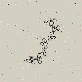 CC(C)(C)c1ccc(-n2c3ccccc3c3cc(-c4ccc(-c5ccc6c(c5)C5(c7ccccc7-c7ccccc75)c5cc(-c7ccc(-c8ccc9c(c8)c8ccccc8n9-c8ccc(C(C)(C)C)cc8)c8ccccc78)ccc5-6)c5ccccc45)ccc32)cc1